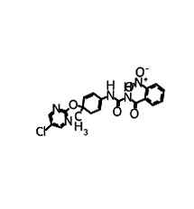 CC1(Oc2ncc(Cl)cn2)C=CC(NC(=O)NC(=O)c2ccccc2[N+](=O)[O-])=CC1